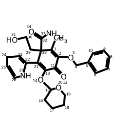 CC1=C(OCc2ccccc2)C(=O)C(OC2CCCCO2)=C(C2=CCC=CN2)C1(CCO)C(N)=O